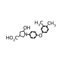 Cc1ccc(Oc2ccc(N3CC(C(=O)O)CC3O)cc2)cc1C